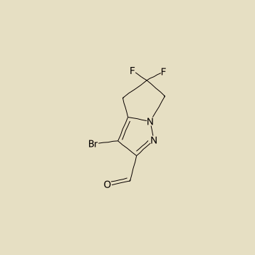 O=Cc1nn2c(c1Br)CC(F)(F)C2